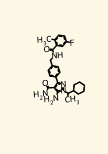 Cc1ccc(F)cc1C(=O)NCc1ccc(-c2nn(C(C)C3CCCCC3)c(N)c2C(N)=O)cc1